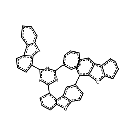 c1ccc(-c2nc(-c3cccc4c3sc3ccccc34)nc(-c3cccc4oc5ccc(-c6cccc7c6oc6ccccc67)cc5c34)n2)cc1